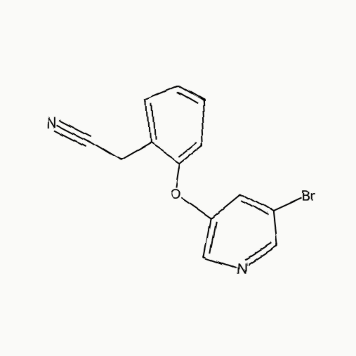 N#CCc1ccccc1Oc1cncc(Br)c1